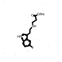 COC(=O)CCNCCc1c[nH]c2ccc(F)cc12